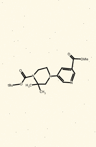 COC(=O)c1cncc(N2CCN(C(=O)OC(C)(C)C)C(C)(C)C2)c1